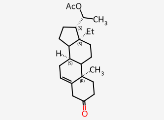 CC[C@]12CCC3[C@@H](CC=C4CC(=O)CC[C@@]43C)C1CC[C@@H]2C(C)OC(C)=O